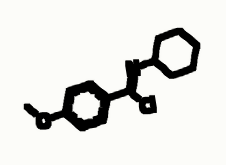 COc1ccc(/C(Cl)=N/C2CCCCC2)cc1